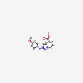 COC(=O)c1cccc2nn(Cc3ccc(OC)cc3)cc12